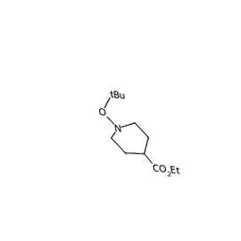 CCOC(=O)C1CCN(OC(C)(C)C)CC1